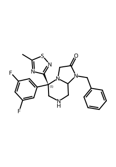 Cc1nc([C@]2(c3cc(F)cc(F)c3)CNCC3N(Cc4ccccc4)C(=O)CN32)ns1